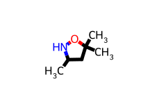 CC1CC(C)(C)ON1